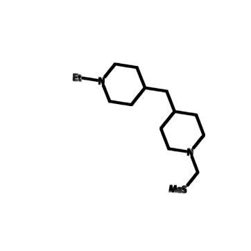 CCN1CCC(CC2CCN(CSC)CC2)CC1